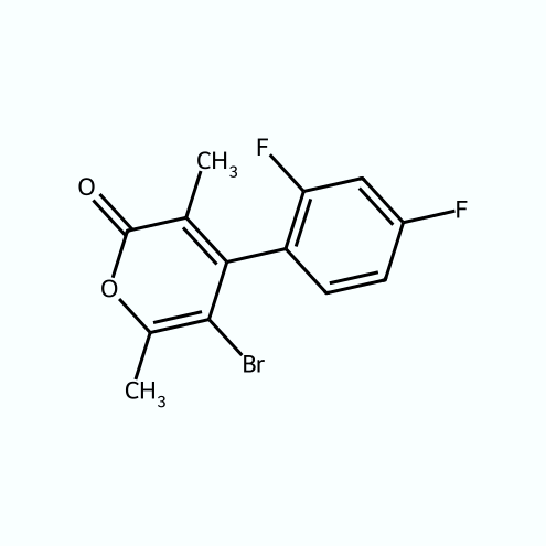 Cc1oc(=O)c(C)c(-c2ccc(F)cc2F)c1Br